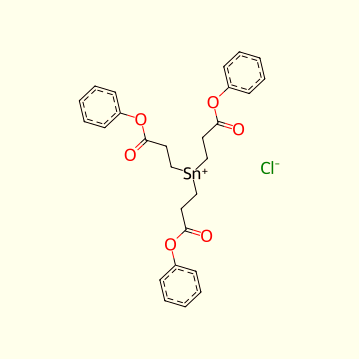 O=C(C[CH2][Sn+]([CH2]CC(=O)Oc1ccccc1)[CH2]CC(=O)Oc1ccccc1)Oc1ccccc1.[Cl-]